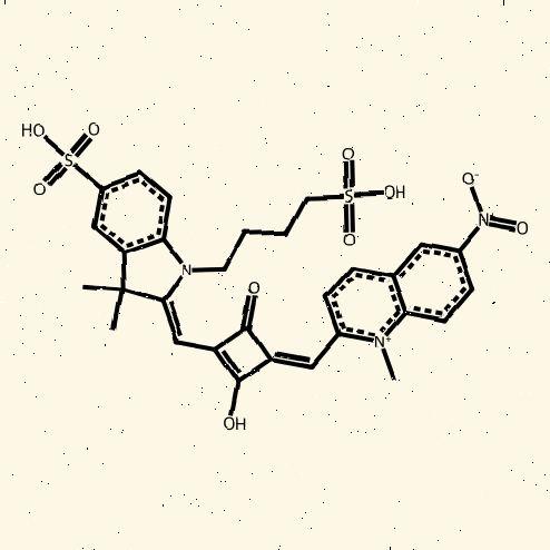 C[n+]1c(C=C2C(=O)C(C=C3N(CCCCS(=O)(=O)O)c4ccc(S(=O)(=O)O)cc4C3(C)C)=C2O)ccc2cc([N+](=O)[O-])ccc21